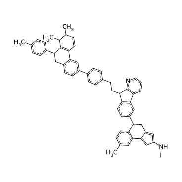 Cc1ccc(C2Cc3ccc(-c4ccc(CCC5c6ccc(C7CC8=C=C(NI)C=C8c8cc(C)ccc87)cc6-c6cccnc65)cc4)cc3C3=C2C(C)C(C)C=C3)cc1